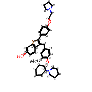 COc1cc(Cc2c(-c3ccc(OCCN4CCCC4)cc3)sc3cc(O)ccc23)ccc1O[C@H]1CCCC[C@@H]1N1CCCCC1